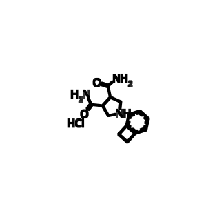 Cl.NC(=O)C1CNCC1C(N)=O.c1ccc2c(c1)CC2